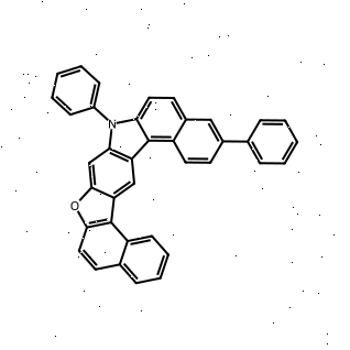 c1ccc(-c2ccc3c(ccc4c3c3cc5c(cc3n4-c3ccccc3)oc3ccc4ccccc4c35)c2)cc1